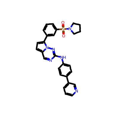 O=S(=O)(c1cccc(-c2ccc3cnc(Nc4ccc(-c5cccnc5)cc4)nn23)c1)N1CCCC1